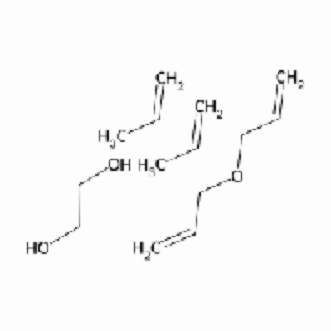 C=CC.C=CC.C=CCOCC=C.OCCO